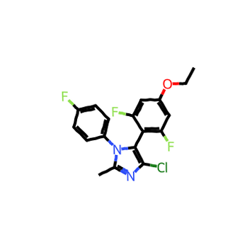 CCOc1cc(F)c(-c2c(Cl)nc(C)n2-c2ccc(F)cc2)c(F)c1